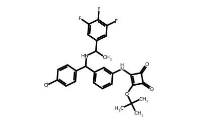 CC(NC(c1ccc(Cl)cc1)c1cccc(Nc2c(OC(C)(C)C)c(=O)c2=O)c1)c1cc(F)c(F)c(F)c1